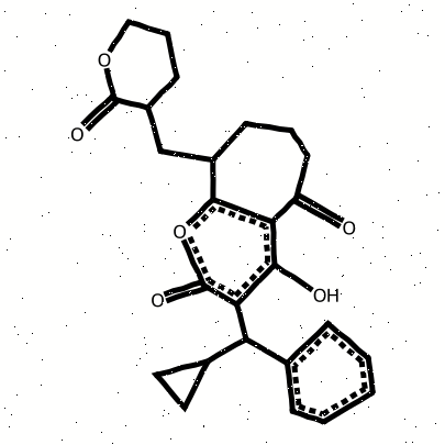 O=C1CCCC(CC2CCCOC2=O)c2oc(=O)c(C(c3ccccc3)C3CC3)c(O)c21